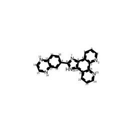 c1cnc2c(c1)c1nc(-c3ccc4nccnc4c3)[nH]c1c1cccnc12